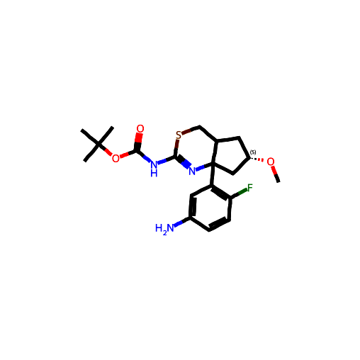 CO[C@H]1CC2CSC(NC(=O)OC(C)(C)C)=NC2(c2cc(N)ccc2F)C1